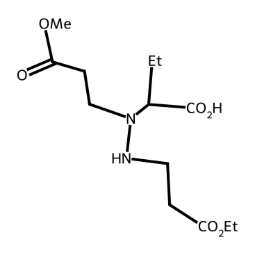 CCOC(=O)CCNN(CCC(=O)OC)C(CC)C(=O)O